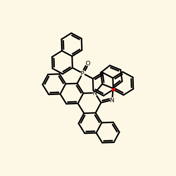 O=P(c1ccc2ccccc2c1)(c1cccc2ccccc12)c1c2ccccc2cc2c3ccc4ccccc4c3c3nc4ccccc4n3c12